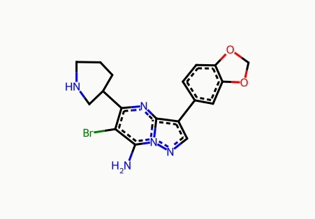 Nc1c(Br)c(C2CCCNC2)nc2c(-c3ccc4c(c3)OCO4)cnn12